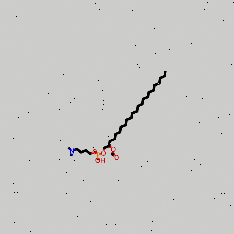 CCCCCCCCCCCCCCCCCCCCCC(COP(O)OCCCCN(C)C)OC=O